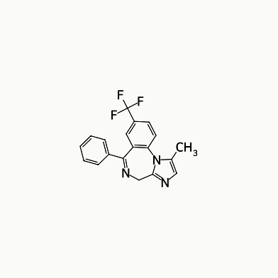 Cc1cnc2n1-c1ccc(C(F)(F)F)cc1C(c1ccccc1)=NC2